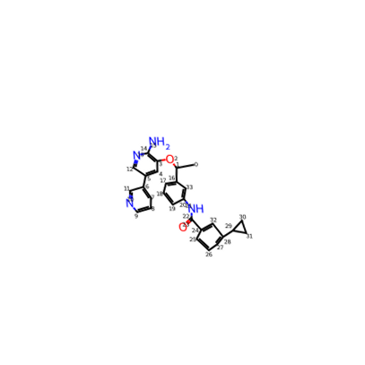 CC(Oc1cc(-c2cccnc2)cnc1N)c1cccc(NC(=O)c2cccc(C3CC3)c2)c1